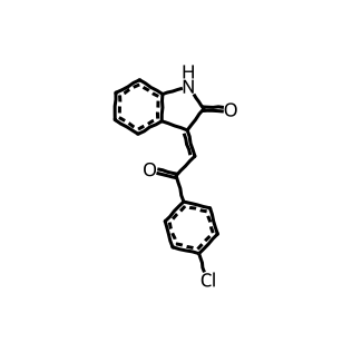 O=C1Nc2ccccc2/C1=C\C(=O)c1ccc(Cl)cc1